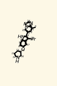 Cc1cc(-c2[nH]c3ccc(O[C@H]4CCCNC4)cc3c2C(C)C)cn2ncnc12